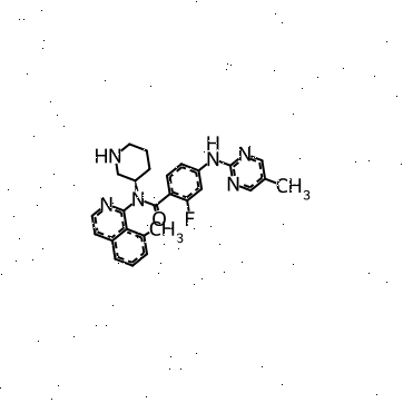 Cc1cnc(Nc2ccc(C(=O)N(c3nccc4cccc(C)c34)[C@@H]3CCCNC3)c(F)c2)nc1